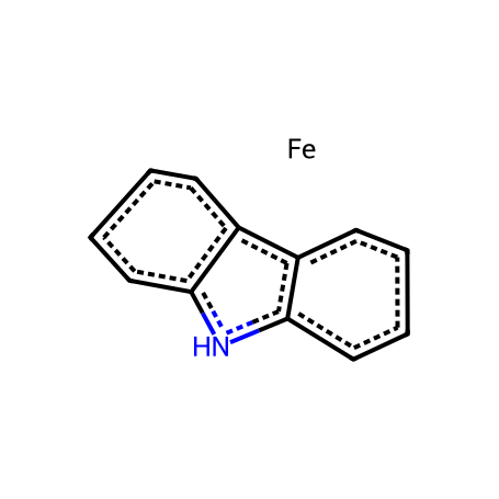 [Fe].c1ccc2c(c1)[nH]c1ccccc12